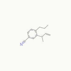 C=C[C](C)c1cc(C#N)ccc1CCC